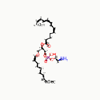 CCCCCCCC/C=C\C/C=C\C/C=C\CCCC(=O)O[C@H](CO/C=C\CCCCCCCCCCCCCCCC)COP(=O)(O)OCCN